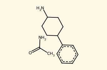 CC(N)=O.NC1CCC(c2ccccc2)CC1